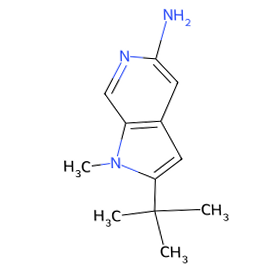 Cn1c(C(C)(C)C)cc2cc(N)ncc21